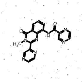 Cn1c(-c2cnccn2)nc2c(NC(=O)c3cnccn3)cccc2c1=O